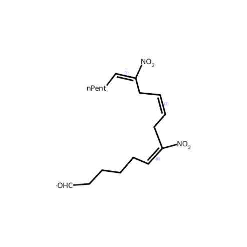 CCCCC/C=C(\C/C=C\C/C(=C\CCCC[C]=O)[N+](=O)[O-])[N+](=O)[O-]